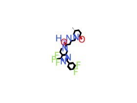 C[C@@H]1CCC(=O)N(C[C@@H](N)CC(=O)N2CCc3c(nc(-c4ccc(F)c(F)c4)nc3C(F)(F)F)C2)C1